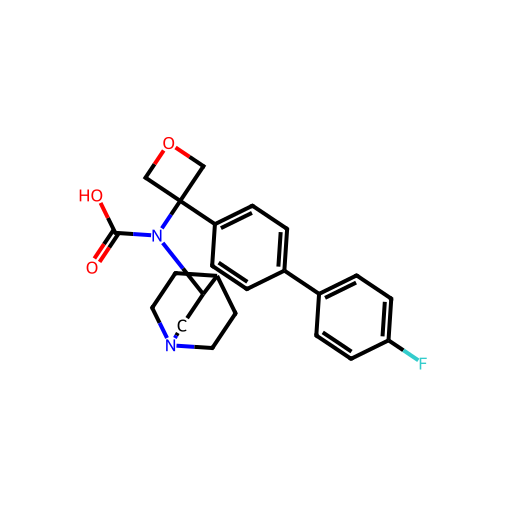 O=C(O)N(C1CN2CCC1CC2)C1(c2ccc(-c3ccc(F)cc3)cc2)COC1